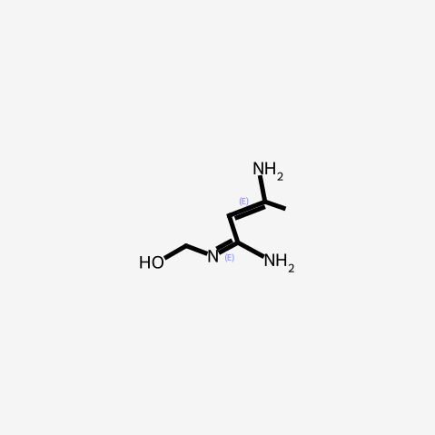 C/C(N)=C\C(N)=N/CO